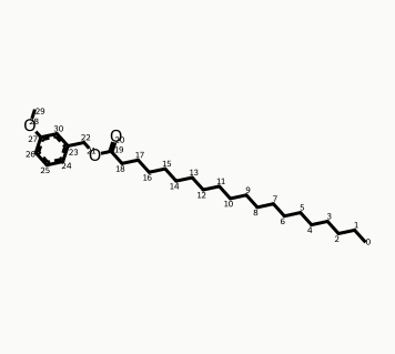 CCCCCCCCCCCCCCCCCCCC(=O)OCc1cccc(OC)c1